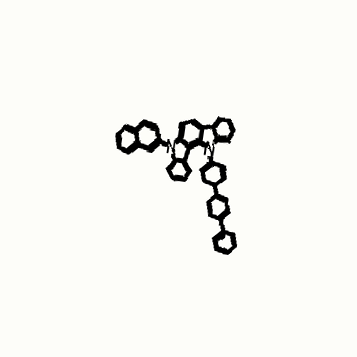 C1=CC(c2ccc(-c3ccccc3)cc2)CC=C1n1c2ccccc2c2ccc3c(c4ccccc4n3-c3ccc4ccccc4c3)c21